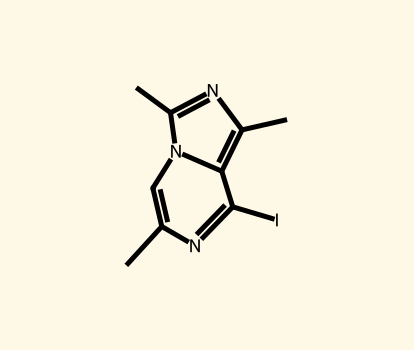 Cc1cn2c(C)nc(C)c2c(I)n1